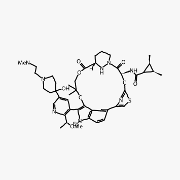 CCn1c(-c2cc(C3(O)CCN(CCNC)CC3)cnc2[C@H](C)OC)c2c3cc(ccc31)-c1csc(n1)C[C@H](NC(=O)C1[C@@H](C)[C@H]1C)C(=O)N1CCC[C@H](N1)C(=O)OCC(C)(C)C2